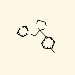 Cl.Clc1ccc(C2(Cn3ccnc3)OCCO2)cc1